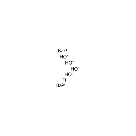 [Ba+2].[Ba+2].[OH-].[OH-].[OH-].[OH-].[Ti]